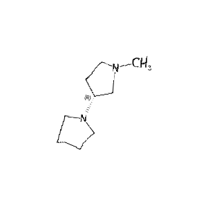 CN1CC[C@@H](N2CCCC2)C1